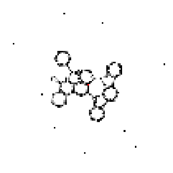 O=c1c2ccccc2c2cc(-n3c4ccccc4c4ccc5c6ccccc6n(-c6ccccc6)c5c43)cc3nc(-c4ccccc4)n1c32